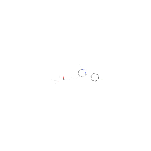 CC(C)(C)OC(=O)NCCc1cc(Cl)nc(-c2ccc(F)c(Cl)c2)c1